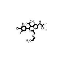 C=C(CC)NC1CC2=C(C(=C)C)C(c3ccc(Cl)c(F)c3)N=C(CS/C=C\C)N2C1